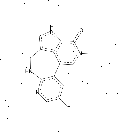 Cn1cc2c3c(c[nH]c3c1=O)CNc1ncc(F)cc1-2